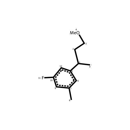 [CH2]C(CCOC)c1cc(C)cc(F)c1